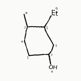 CCC1CC(O)CCC1C